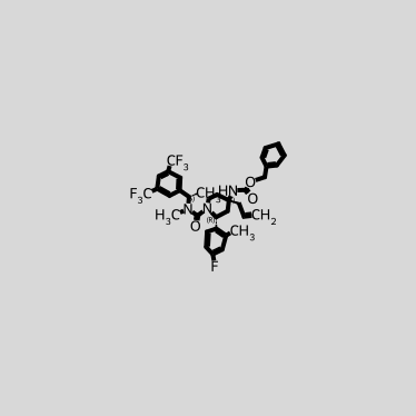 C=CC[C@]1(NC(=O)OCc2ccccc2)CCN(C(=O)N(C)[C@@H](C)c2cc(C(F)(F)F)cc(C(F)(F)F)c2)[C@@H](c2ccc(F)cc2C)C1